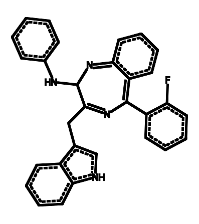 Fc1ccccc1C1=c2ccccc2=NC(Nc2ccccc2)C(Cc2c[nH]c3ccccc23)=N1